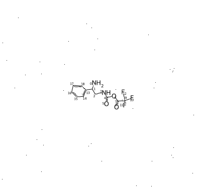 NC(CNC(=O)OC(=O)C(F)(F)F)c1ccccc1